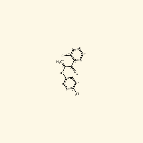 C=C(Oc1ccc(Cl)nc1)C(=O)c1ccccc1Cl